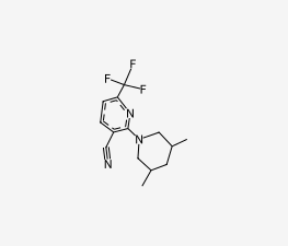 CC1CC(C)CN(c2nc(C(F)(F)F)ccc2C#N)C1